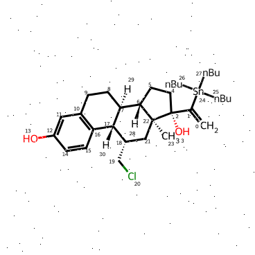 C=[C]([C@]1(O)CC[C@H]2[C@@H]3CCc4cc(O)ccc4[C@H]3[C@@H](CCl)C[C@@]21C)[Sn]([CH2]CCC)([CH2]CCC)[CH2]CCC